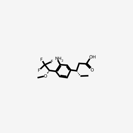 CC[C@@H](CC(=O)O)c1ccc([C@H](OC)C(F)(F)F)c(N)c1